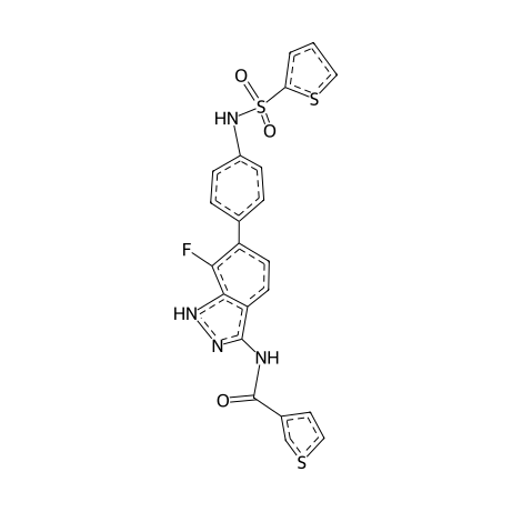 O=C(Nc1n[nH]c2c(F)c(-c3ccc(NS(=O)(=O)c4cccs4)cc3)ccc12)c1ccsc1